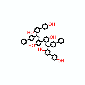 Oc1ccc(-c2ccc(O)c(C(Cc3cc(O)ccc3-c3ccc(O)cc3CC(c3ccc(-c4ccccc4)cc3)c3cc(-c4ccc(O)cc4)ccc3O)c3ccc(-c4ccccc4)cc3)c2)cc1